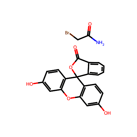 NC(=O)CBr.O=C1OC2(c3ccc(O)cc3Oc3cc(O)ccc32)c2ccccc21